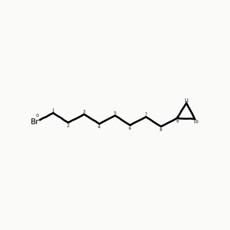 BrCCCCCCCCC1CC1